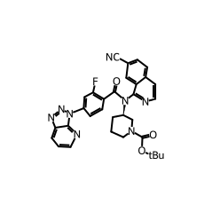 CC(C)(C)OC(=O)N1CCC[C@@H](N(C(=O)c2ccc(-n3nnc4cccnc43)cc2F)c2nccc3ccc(C#N)cc23)C1